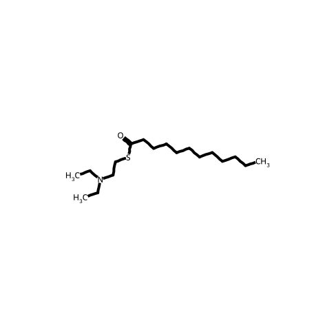 CCCCCCCCCCCC(=O)SCCN(CC)CC